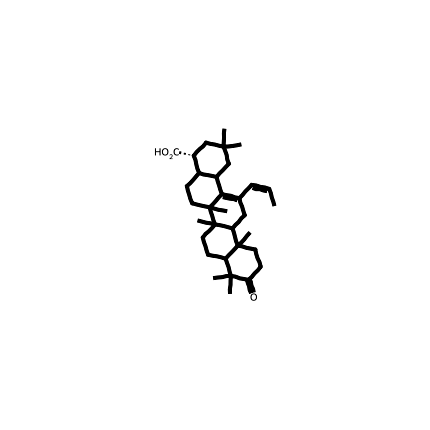 C/C=C\C1=C2C3CC(C)(C)C[C@@H](C(=O)O)C3CCC2(C)C2(C)CCC3C(C)(C)C(=O)CCC3(C)C2C1